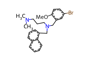 COc1ccc(Br)cc1CN(CCCN(C)C)Cc1cccc2ccccc12